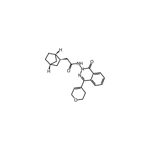 O=C(C[C@H]1C[C@@H]2CC[C@H]1C2)Nn1nc(C2=CCOCC2)c2ccccc2c1=O